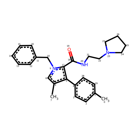 Cc1ccc(-c2c(C)cn(Cc3ccccc3)c2C(=O)NCCN2CCCC2)cc1